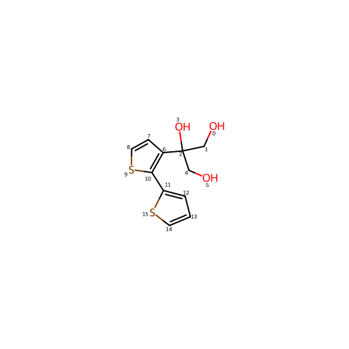 OCC(O)(CO)c1ccsc1-c1cccs1